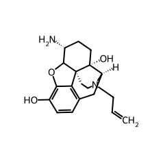 C=CCN1CC[C@]23c4c5ccc(O)c4OC2[C@H](N)CC[C@@]3(O)[C@H]1C5